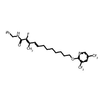 CC(/C=C/CCCCCCCOc1ncc(C(F)(F)F)cc1C(F)(F)F)=C(/F)C(=O)NCC(C)C